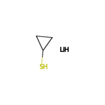 SC1CC1.[LiH]